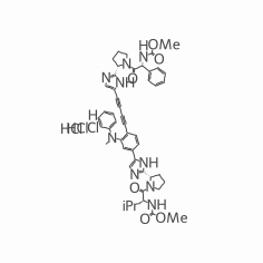 COC(=O)N[C@H](C(=O)N1CCC[C@H]1c1ncc(-c2ccc(C#CC#Cc3cnc([C@@H]4CCCN4C(=O)[C@H](NC(=O)OC)c4ccccc4)[nH]3)c(N(C)c3ccccc3)c2)[nH]1)C(C)C.Cl.Cl.Cl